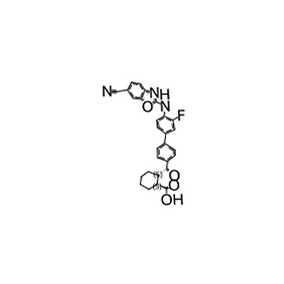 N#Cc1ccc2nc(Nc3ccc(-c4ccc(C(=O)[C@H]5CCCC[C@@H]5C(=O)O)cc4)cc3F)oc2c1